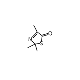 CC1=NC(C)(C)SC1=O